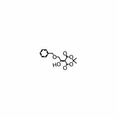 CC1(C)OC(=O)C(=C(O)COCc2ccccc2)C(=O)O1